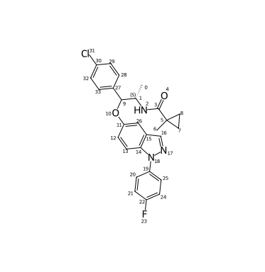 C[C@H](NC(=O)C1(C)CC1)C(Oc1ccc2c(cnn2-c2ccc(F)cc2)c1)c1ccc(Cl)cc1